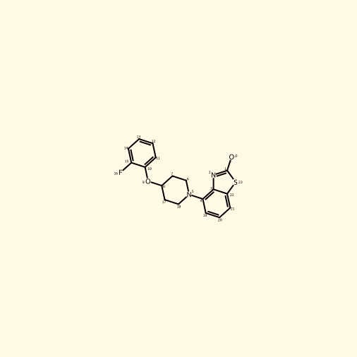 [O]c1nc2c(N3CCC(Oc4ccccc4F)CC3)cccc2s1